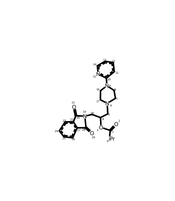 CC(C)C(=O)OC(CN1CCN(c2ccccn2)CC1)CN1C(=O)c2ccccc2C1=O